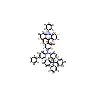 c1ccc(-c2ccc(N(c3ccc4c(c3)C(c3ccccc3)(c3ccccc3)c3ccccc3-4)c3cc4c5c(cccc5c3)-c3c(cccc3N(c3ccccc3)c3ccccc3)O4)cc2)cc1